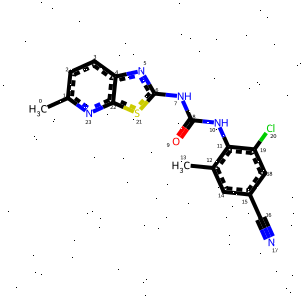 Cc1ccc2nc(NC(=O)Nc3c(C)cc(C#N)cc3Cl)sc2n1